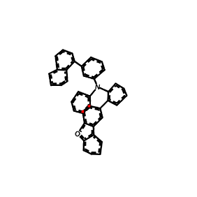 c1ccc(N(c2cccc(-c3cccc4ccccc34)c2)c2ccccc2-c2ccc3oc4ccccc4c3c2)cc1